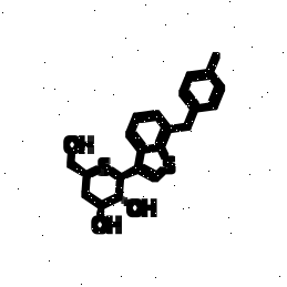 Cc1ccc(Cc2cccc3c([C@@H]4S[C@H](CO)C[C@H](O)[C@H]4O)csc23)cc1